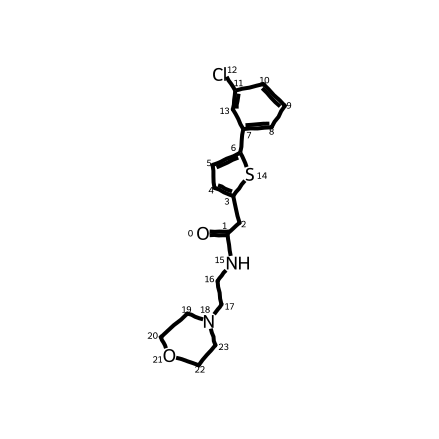 O=C(Cc1ccc(-c2cccc(Cl)c2)s1)NCCN1CCOCC1